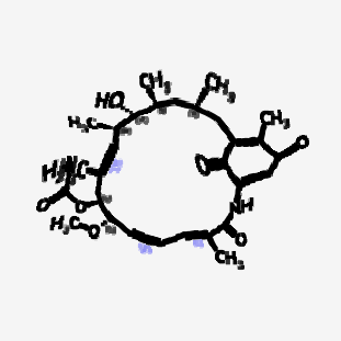 CO[C@H]1/C=C\C=C(/C)C(=O)NC2=CC(=O)C(C)=C(C[C@H](C)C[C@H](C)[C@@H](O)[C@H](C)/C=C(\C)[C@@H]1OC(N)=O)C2=O